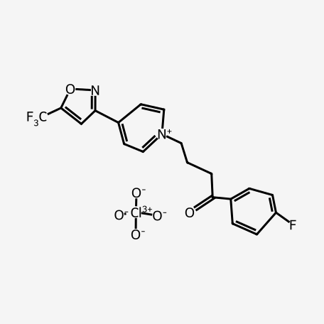 O=C(CCC[n+]1ccc(-c2cc(C(F)(F)F)on2)cc1)c1ccc(F)cc1.[O-][Cl+3]([O-])([O-])[O-]